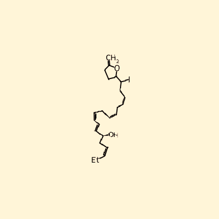 C=C1CCC(C(I)C/C=C\C/C=C\C/C=C\C=C\[C@@H](O)C/C=C\CC)O1